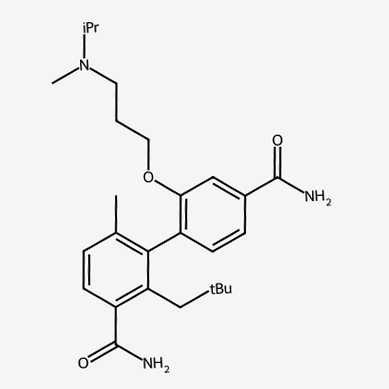 Cc1ccc(C(N)=O)c(CC(C)(C)C)c1-c1ccc(C(N)=O)cc1OCCCN(C)C(C)C